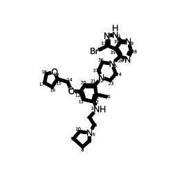 Cc1c(NCCN2CCCC2)cc(OCC2CCCO2)cc1N1CCN(c2ncnc3[nH]nc(Br)c23)CC1